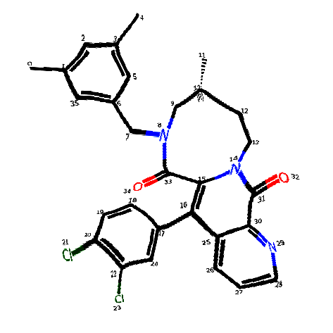 Cc1cc(C)cc(CN2C[C@H](C)CCn3c(c(-c4ccc(Cl)c(Cl)c4)c4cccnc4c3=O)C2=O)c1